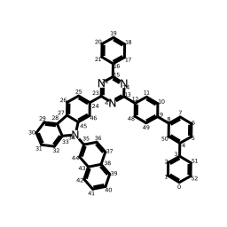 c1ccc(-c2cccc(-c3ccc(-c4nc(-c5ccccc5)nc(-c5ccc6c7ccccc7n(-c7ccc8ccccc8c7)c6c5)n4)cc3)c2)cc1